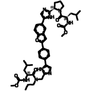 CCCN(Cc1ncc(-c2ccc(-c3cc4cc(-c5cnc([C@@H]6CCCN6C(=O)[C@H](CC(C)C)NC(=O)OC)[nH]5)ccc4o3)cc2)[nH]1)C(=O)[C@H](CC(C)C)NC(=O)OC